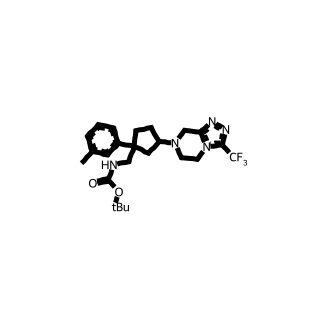 Cc1cccc(C2(CNC(=O)OC(C)(C)C)CCC(N3CCn4c(nnc4C(F)(F)F)C3)C2)c1